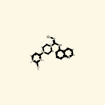 N#C/N=C(/Nc1cccc2ncccc12)N1CCN(c2ccnc(Cl)n2)CC1